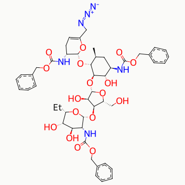 CC[C@@H]1O[C@H](O[C@H]2[C@@H](O)[C@H](O[C@@H]3[C@@H](O)[C@H](NC(=O)OCc4ccccc4)C[C@H](C)[C@H]3O[C@H]3OC(CN=[N+]=[N-])=CC[C@H]3NC(=O)OCc3ccccc3)O[C@@H]2CO)[C@H](NC(=O)OCc2ccccc2)[C@@H](O)[C@@H]1O